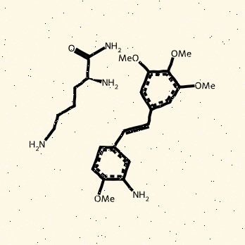 COc1ccc(C=Cc2cc(OC)c(OC)c(OC)c2)cc1N.NCCCC[C@H](N)C(N)=O